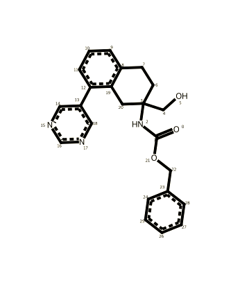 O=C(NC1(CO)CCc2cccc(-c3cncnc3)c2C1)OCc1ccccc1